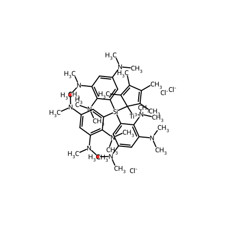 CC1=C(C)[C]([Ti+3])([Si](c2cc(N(C)C)cc(N(C)C)c2N(C)C)(c2cc(N(C)C)cc(N(C)C)c2N(C)C)c2cc(N(C)C)cc(N(C)C)c2N(C)C)C(C)=C1C.[Cl-].[Cl-].[Cl-]